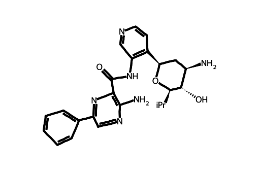 CC(C)[C@H]1O[C@@H](c2ccncc2NC(=O)c2nc(-c3ccccc3)cnc2N)C[C@@H](N)[C@@H]1O